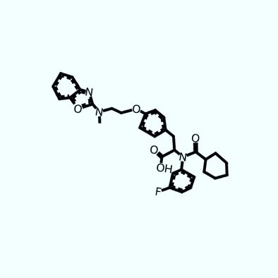 CN(CCOc1ccc(CC(C(=O)O)N(C(=O)C2CCCCC2)c2cccc(F)c2)cc1)c1nc2ccccc2o1